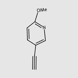 C#Cc1ccc(OC)nc1